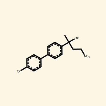 CC(O)(CCN)c1ccc(-c2ccc(Br)cc2)cc1